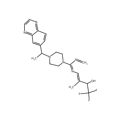 C=N/C(=N\C=C(/C)C(O)C(F)(F)F)N1CCN(C(C)c2ccc3nccnc3c2)CC1